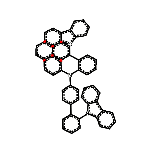 c1cc(-c2cccc3c2oc2ccccc23)cc(N(c2ccc(-c3ccccc3-n3c4ccccc4c4ccccc43)cc2)c2ccccc2-c2ccc3ccccc3c2)c1